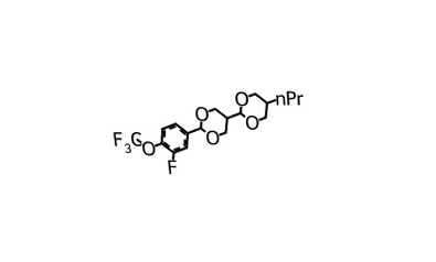 CCCC1COC(C2COC(c3ccc(OC(F)(F)F)c(F)c3)OC2)OC1